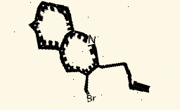 C=CCc1nc2ccccc2cc1Br